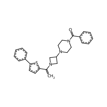 C=C(c1ccc(-c2ccccc2)s1)N1CC(N2CCN(C(=O)c3ccccc3)CC2)C1